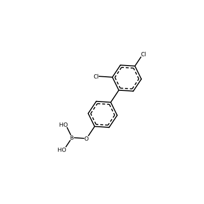 OB(O)Oc1ccc(-c2ccc(Cl)cc2Cl)cc1